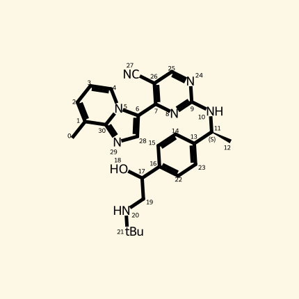 Cc1cccn2c(-c3nc(N[C@@H](C)c4ccc(C(O)CNC(C)(C)C)cc4)ncc3C#N)cnc12